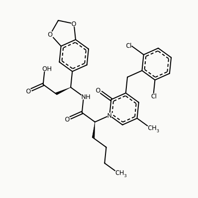 CCCC[C@@H](C(=O)N[C@@H](CC(=O)O)c1ccc2c(c1)OCO2)n1cc(C)cc(Cc2c(Cl)cccc2Cl)c1=O